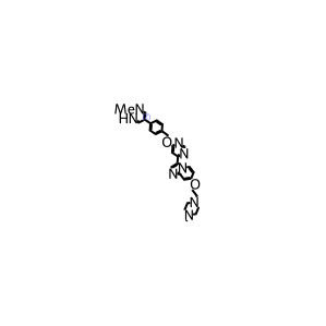 CN/C=C(\C=N)c1ccc(COc2cc(-c3cnc4cc(OCCN5CCN(C)CC5)ccn34)ncn2)cc1